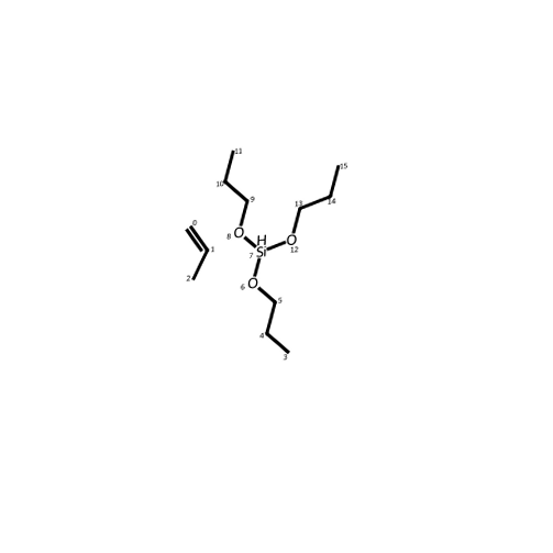 C=CC.CCCO[SiH](OCCC)OCCC